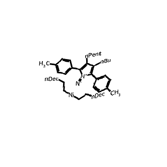 CCCCCC1=C(c2ccc(C)cc2)[N+](=[N-])C(c2ccc(C)cc2)=C1CCCC.CCCCCCCCCCC[CH2][Ni][CH2]CCCCCCCCCCC